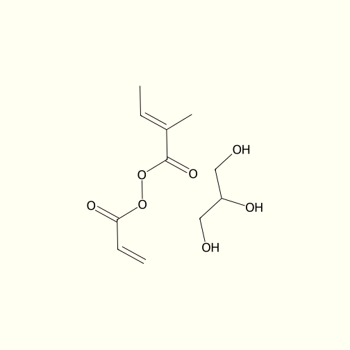 C=CC(=O)OOC(=O)C(C)=CC.OCC(O)CO